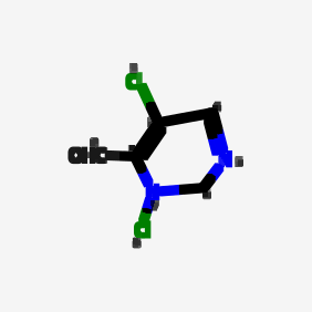 O=CC1=C(Cl)C=NCN1Cl